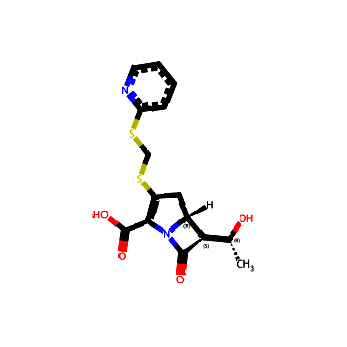 C[C@@H](O)[C@H]1C(=O)N2C(C(=O)O)=C(SCSc3ccccn3)C[C@H]12